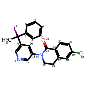 CC(I)(c1ccccc1)c1cncc(N2CCc3cc(Cl)ccc3C2=O)c1